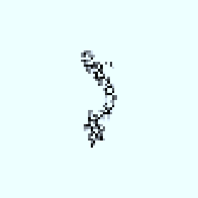 COc1cc2nc([C@H]3CC[C@H](CN4CCC5(CC4)CC(Nc4cccc6c4C(=O)N(C4CCC(=O)NC4=O)C6=O)C5)CC3)oc2cc1NC(=O)c1cnn2cccnc12